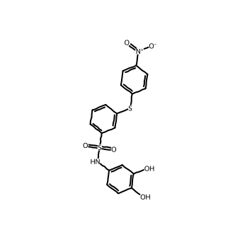 O=[N+]([O-])c1ccc(Sc2cccc(S(=O)(=O)Nc3ccc(O)c(O)c3)c2)cc1